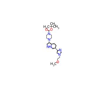 COCCn1cnc(-c2ccc3c(N4CCN(C(=O)OC(C)(C)C)CC4)cnn3c2)c1